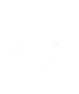 CS(=O)(=O)c1cccc(-c2ccc(CN(CC3CC3)S(=O)(=O)c3ccccc3C(F)(F)F)s2)c1